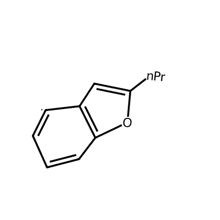 CCCc1cc2[c]cccc2o1